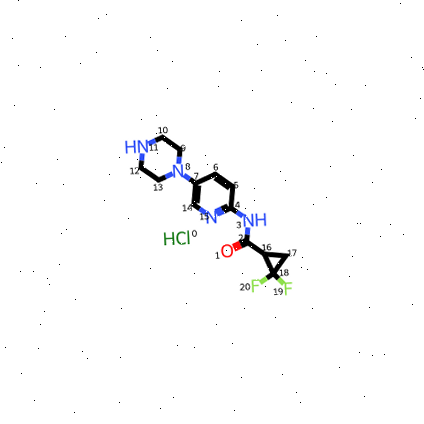 Cl.O=C(Nc1ccc(N2CCNCC2)cn1)C1CC1(F)F